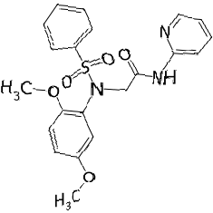 COc1ccc(OC)c(N(CC(=O)Nc2ccccn2)S(=O)(=O)c2ccccc2)c1